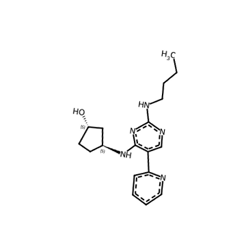 CCCCNc1ncc(-c2ccccn2)c(N[C@H]2CC[C@H](O)C2)n1